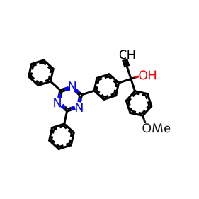 C#CC(O)(c1ccc(OC)cc1)c1ccc(-c2nc(-c3ccccc3)nc(-c3ccccc3)n2)cc1